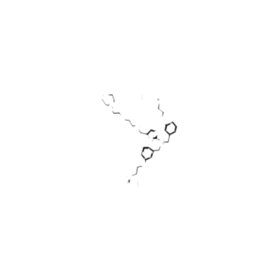 COCCOc1cccc(CN(Cc2cccc(OCCOC)c2)c2nc(COCCOCCN3CCOCC3)cs2)c1